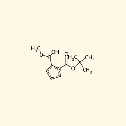 COB(O)c1cccn1C(=O)OC(C)(C)C